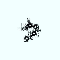 COc1cc(C(=O)NC2CCOCC2)ccc1Nc1nccc(-c2cc(C#N)c3c(c2)C(C)(CO)CN3)n1